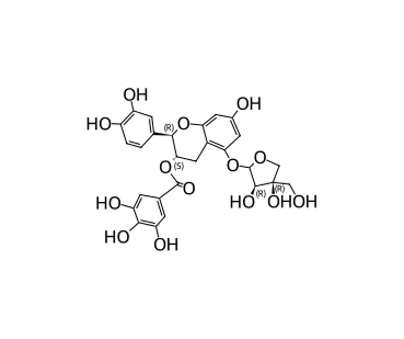 O=C(O[C@H]1Cc2c(OC3OC[C@](O)(CO)[C@H]3O)cc(O)cc2O[C@@H]1c1ccc(O)c(O)c1)c1cc(O)c(O)c(O)c1